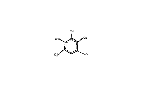 CCCCc1cc([N+](=O)[O-])c(CCCC)c(C#N)c1C#N